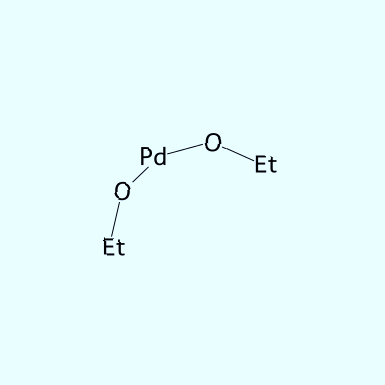 CC[O][Pd][O]CC